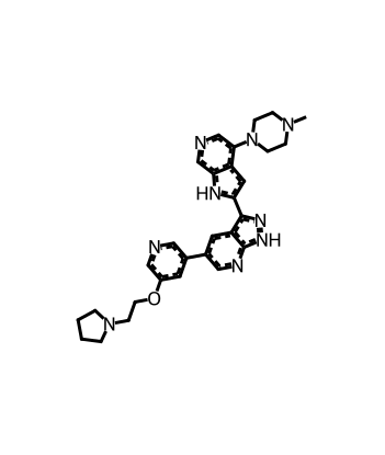 CN1CCN(c2cncc3[nH]c(-c4n[nH]c5ncc(-c6cncc(OCCN7CCCC7)c6)cc45)cc23)CC1